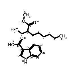 CCCCCCC(CC)C(=O)OC.O=C(O)c1c[nH]c2ccccc12